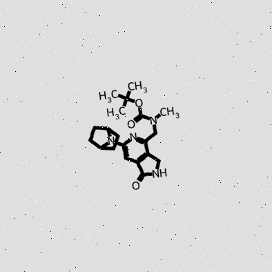 CN(Cc1nc(N2C3CCC2CC3)cc2c1CNC2=O)C(=O)OC(C)(C)C